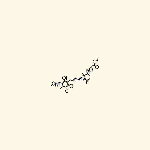 CCOC(=O)CO/N=C1\CC[C@@H](C)[C@](C)(/C=C/C(C)=C/Cc2c(O)c(/C=N/OC)c(C)c(Cl)c2OC)[C@H]1C